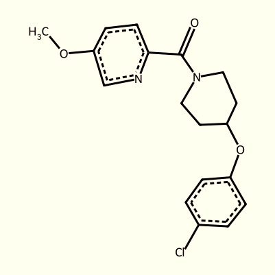 COc1ccc(C(=O)N2CCC(Oc3ccc(Cl)cc3)CC2)nc1